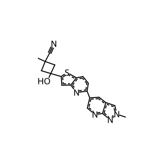 Cn1cc2cc(-c3ccc4sc(C5(O)CC(C)(C#N)C5)cc4n3)cnc2n1